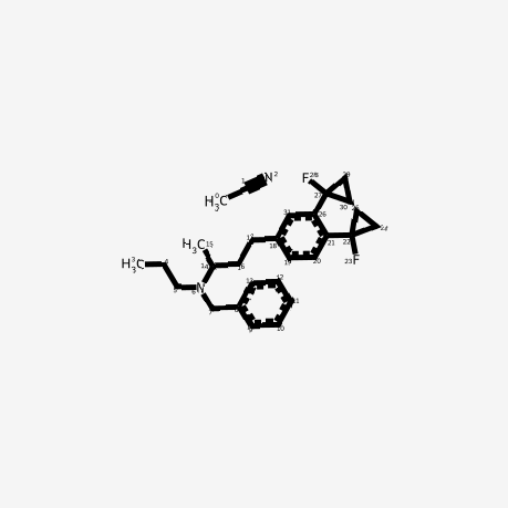 CC#N.CCCN(Cc1ccccc1)C(C)CCc1ccc(C2(F)CC2)c(C2(F)CC2)c1